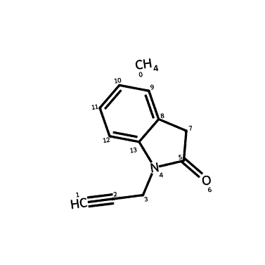 C.C#CCN1C(=O)Cc2ccccc21